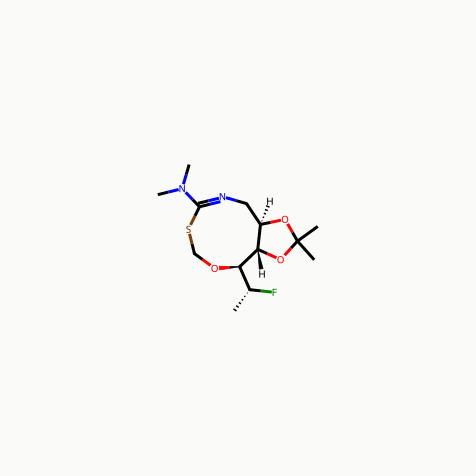 C[C@@H](F)[C@H]1OCSC(N(C)C)=NC[C@H]2OC(C)(C)O[C@H]12